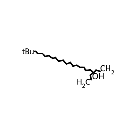 C=CCC(O)(CC=C)CCCCCCCCCCCCCCCCCC(C)(C)C